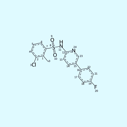 Cc1c(Cl)cccc1S(=O)(=O)Nc1ccc(-c2ccc(F)cc2)cn1